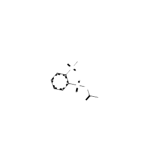 CC(=O)OS(=O)(=O)c1ccccc1S(C)(=O)=O